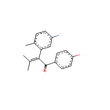 CC(C)=C(C(=O)c1ccc(O)cc1)c1cc(N)ccc1C